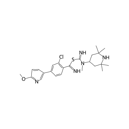 COc1ccc(-c2ccc(C(=N)SC(=N)N(C)C3CC(C)(C)NC(C)(C)C3)c(Cl)c2)cn1